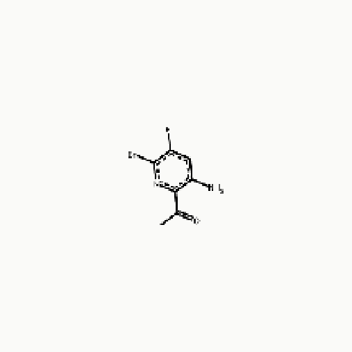 CC(=O)c1nc(Br)c(F)cc1N